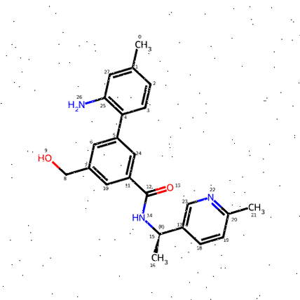 Cc1ccc(-c2cc(CO)cc(C(=O)N[C@H](C)c3ccc(C)nc3)c2)c(N)c1